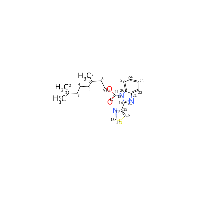 CC(C)CCCC(C)CCOC(=O)n1c(-c2cscn2)nc2ccccc21